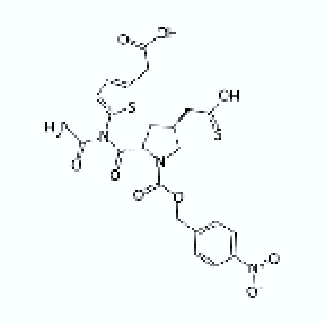 NC(=O)N(C(=O)[C@@H]1C[C@@H](CC(O)=S)CN1C(=O)OCc1ccc([N+](=O)[O-])cc1)c1ccc(CC(=O)O)s1